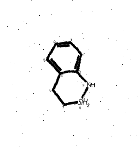 c1ccc2c(c1)CC[SiH2]N2